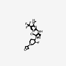 CNc1nc(Nc2cnn(C3CCN(C4COC4)C[C@@H]3F)c2Cl)ncc1C(F)(F)F